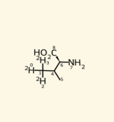 [2H]C([2H])([2H])C(C)[C@H](N)C(=O)O